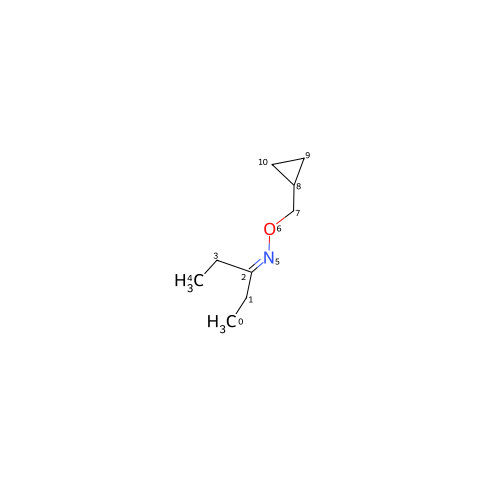 CCC(CC)=NOCC1CC1